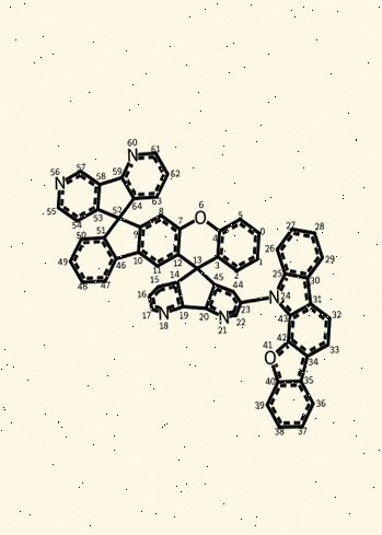 c1ccc2c(c1)Oc1cc3c(cc1C21c2cccnc2-c2ncc(-n4c5ccccc5c5ccc6c7ccccc7oc6c54)cc21)-c1ccccc1C31c2ccncc2-c2ncccc21